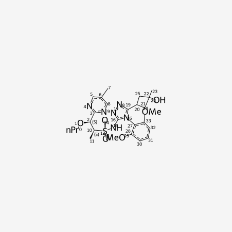 CCCO[C@@H](c1ncc(C)cn1)[C@H](C)S(=O)(=O)Nc1nnc(C2CC(C)(O)C2)n1-c1c(OC)cccc1OC